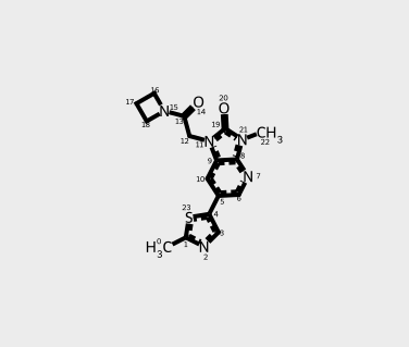 Cc1ncc(-c2cnc3c(c2)n(CC(=O)N2CCC2)c(=O)n3C)s1